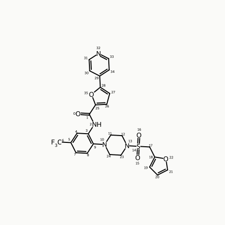 O=C(Nc1cc(C(F)(F)F)ccc1N1CCN(S(=O)(=O)Cc2ccco2)CC1)c1ccc(-c2ccncc2)o1